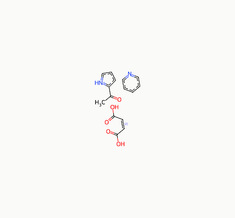 CC(=O)c1ccc[nH]1.O=C(O)/C=C\C(=O)O.c1ccncc1